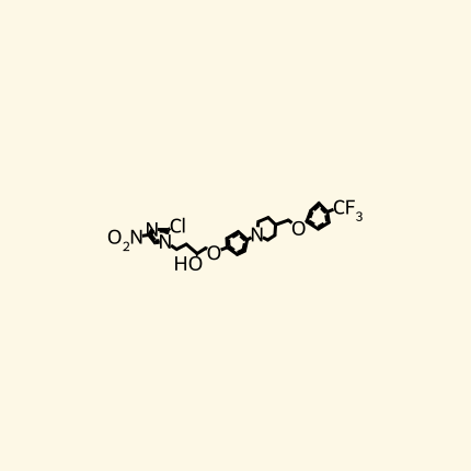 O=[N+]([O-])c1cn(CC[C@@H](O)COc2ccc(N3CCC(COc4ccc(C(F)(F)F)cc4)CC3)cc2)c(Cl)n1